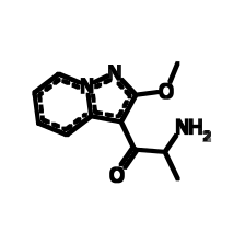 COc1nn2ccccc2c1C(=O)C(C)N